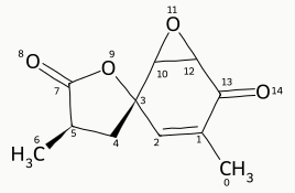 CC1=C[C@@]2(C[C@@H](C)C(=O)O2)C2OC2C1=O